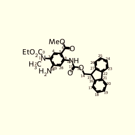 CCOC(=O)N(C)c1cc(C(=O)OC)c(NC(=O)OCC2c3ccccc3-c3ccccc32)cc1N